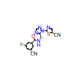 C[C@H](NC(=O)c1cc(F)cc(C#N)c1)c1ncnn1-c1ncc(C#N)s1